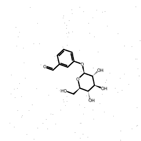 O=Cc1cccc(O[C@@H]2O[C@H](CO)[C@@H](O)[C@H](O)[C@H]2O)c1